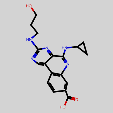 O=C(O)c1ccc2c(c1)nc(NC1CC1)c1nc(NCCCO)ncc12